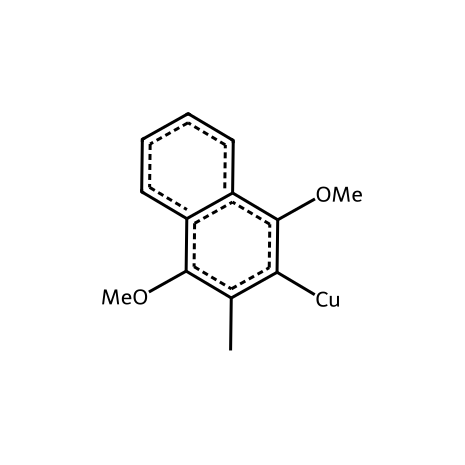 COc1c(C)[c]([Cu])c(OC)c2ccccc12